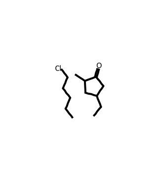 CCC1CC(=O)C(C)C1.CCCCCCl